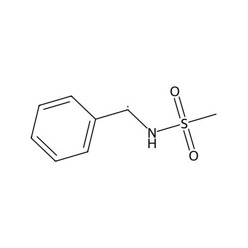 CS(=O)(=O)N[CH]c1ccccc1